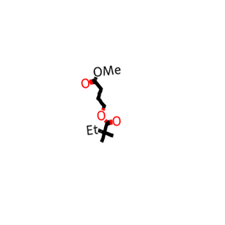 CCC(C)(C)C(=O)OCCCC(=O)OC